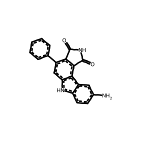 Nc1ccc2[nH]c3cc(-c4ccccc4)c4c(c3c2c1)C(=O)NC4=O